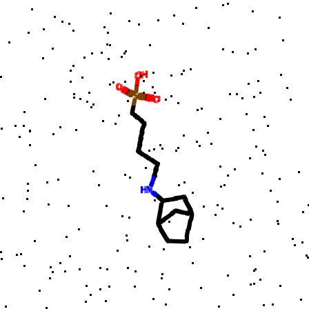 O=S(=O)(O)CCCCNC1CC2CCC1C2